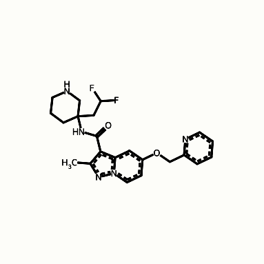 Cc1nn2ccc(OCc3ccccn3)cc2c1C(=O)NC1(CC(F)F)CCCNC1